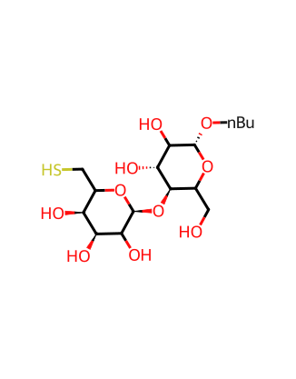 CCCCO[C@@H]1OC(CO)[C@@H](O[C@@H]2OC(CS)[C@H](O)[C@H](O)C2O)[C@H](O)C1O